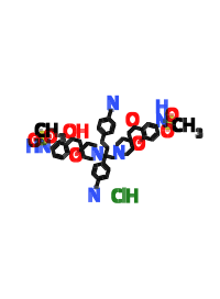 CS(=O)(=O)Nc1ccc2c(c1)C(=O)CC1(CCN(CC(CCc3ccc(C#N)cc3)(c3ccc(C#N)cc3)N3CCC4(CC3)CC(O)c3cc(NS(C)(=O)=O)ccc3O4)CC1)O2.Cl